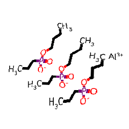 CCCCOP(=O)([O-])CCC.CCCCOP(=O)([O-])CCC.CCCCOP(=O)([O-])CCC.[Al+3]